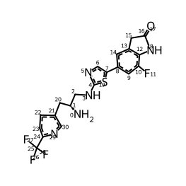 N[C@H](CNc1ncc(-c2cc(F)c3c(c2)CC(=O)N3)s1)Cc1ccc(C(F)(F)F)nc1